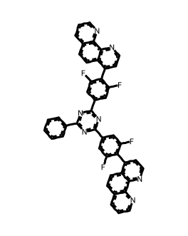 Fc1cc(-c2nc(-c3ccccc3)nc(-c3cc(F)c(-c4ccnc5c4ccc4cccnc45)c(F)c3)n2)cc(F)c1-c1ccnc2c1ccc1cccnc12